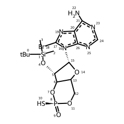 CC(C)(C)[Si](C)(C)O[C@H]1C2O[P@](=O)(S)OCC2O[C@H]1n1c(Br)nc2c(N)ncnc21